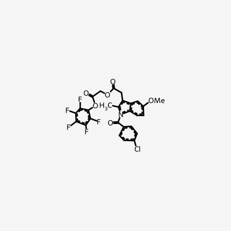 COc1ccc2c(c1)c(CC(=O)OCC(=O)Oc1c(F)c(F)c(F)c(F)c1F)c(C)n2C(=O)c1ccc(Cl)cc1